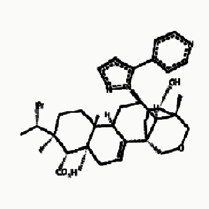 CC(C)[C@@H](C)[C@@]1(C)CC[C@]2(C)[C@H]3CC[C@@H]4[C@@]5(COC[C@@]4(C)[C@@H](O)[C@H](n4nccc4-c4ccncc4)C5)C3=CC[C@@]2(C)[C@@H]1C(=O)O